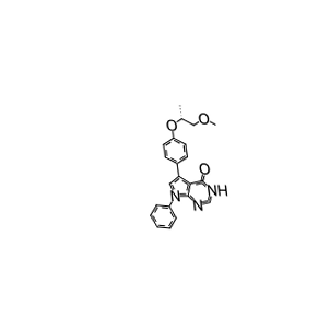 COC[C@@H](C)Oc1ccc(-c2cn(-c3ccccc3)c3nc[nH]c(=O)c23)cc1